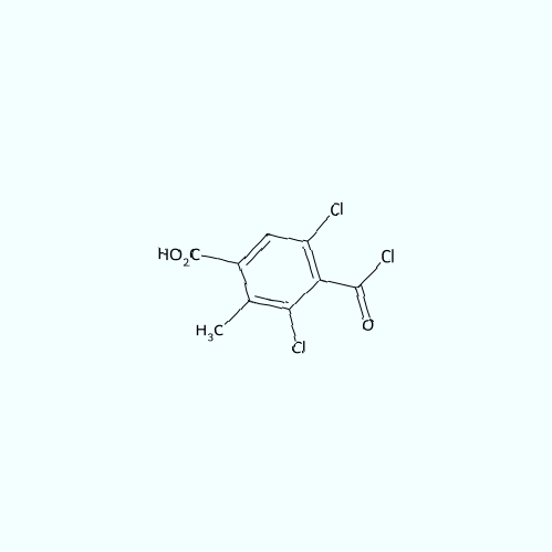 Cc1c(C(=O)O)cc(Cl)c(C(=O)Cl)c1Cl